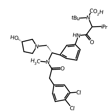 CC(C)C(C(=O)Nc1cccc([C@@H](CN2CC[C@H](O)C2)N(C)C(=O)Cc2ccc(Cl)c(Cl)c2)c1)N(C(=O)O)C(C)(C)C